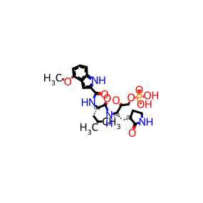 COc1cccc2[nH]c(C(=O)N[C@@H](CC(C)C)C(=O)N[C@@H](C[C@@H]3CCNC3=O)C(=O)COP(=O)(O)O)cc12